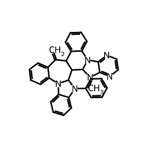 C=C1c2ccccc2N2c3ccccc3N(c3ccccc3)C2C2C1c1ccccc1N1c3nccnc3N(C)C21